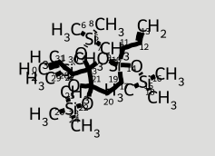 C=CCC1(O[Si](C)(C)C)O[Si](CC=C)(O[Si](C)(C)C)CCC1(O[Si](C)(C)C)O[Si](C)(C)C